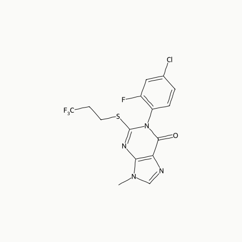 Cn1cnc2c(=O)n(-c3ccc(Cl)cc3F)c(SCCC(F)(F)F)nc21